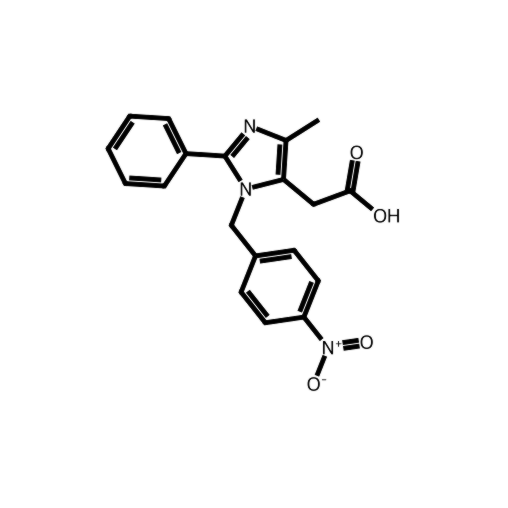 Cc1nc(-c2ccccc2)n(Cc2ccc([N+](=O)[O-])cc2)c1CC(=O)O